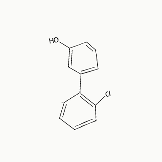 Oc1cccc(-c2[c]cccc2Cl)c1